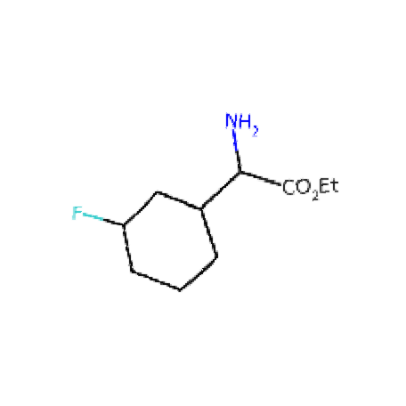 CCOC(=O)C(N)C1CCCC(F)C1